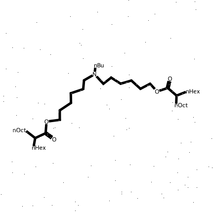 CCCCCCCCC(CCCCCC)C(=O)OCCCCCCN(CCCC)CCCCCCOC(=O)C(CCCCCC)CCCCCCCC